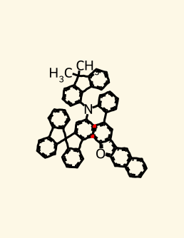 CC1(C)c2ccccc2-c2c(N(c3ccc4c(c3)C3(c5ccccc5-c5ccccc53)c3ccccc3-4)c3ccccc3-c3ccc4oc5cc6ccccc6cc5c4c3)cccc21